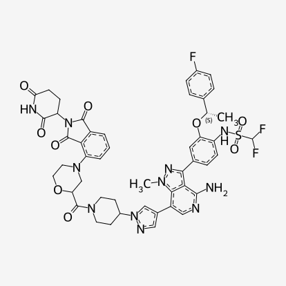 C[C@H](Oc1cc(-c2nn(C)c3c(-c4cnn(C5CCN(C(=O)C6CN(c7cccc8c7C(=O)N(C7CCC(=O)NC7=O)C8=O)CCO6)CC5)c4)cnc(N)c23)ccc1NS(=O)(=O)C(F)F)c1ccc(F)cc1